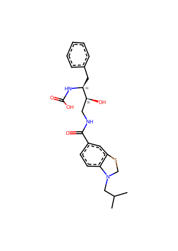 CC(C)CN1CSc2cc(C(=O)NC[C@H](O)[C@H](Cc3ccccc3)NC(=O)O)ccc21